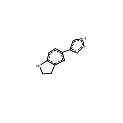 c1cc2c(cc1-c1c[nH]nn1)CCN2